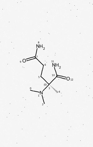 CN(C)[C@@](C)(CCC(N)=O)C(N)=O